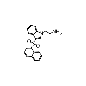 NCCn1cc(S(=O)(=O)c2cccc3ccccc23)c2ccccc21